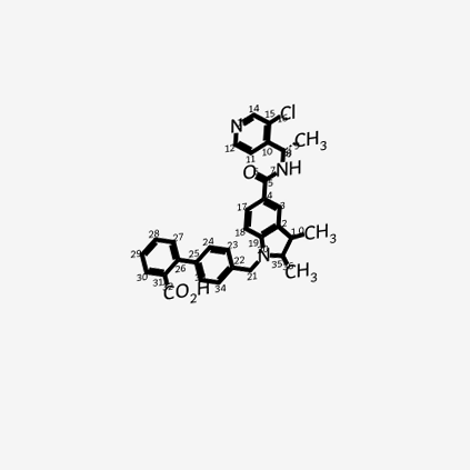 CC1c2cc(C(=O)N[C@@H](C)c3ccncc3Cl)ccc2N(Cc2ccc(-c3ccccc3C(=O)O)cc2)C1C